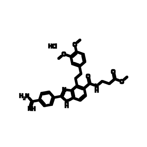 COC(=O)CCNC(=O)c1ccc2[nH]c(-c3ccc(C(=N)N)cc3)nc2c1CCc1ccc(OC)c(OC)c1.Cl